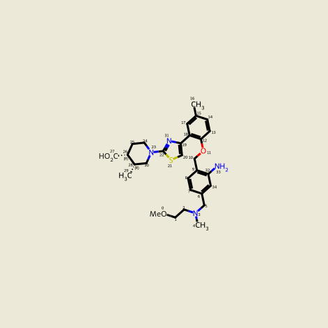 COCCN(C)Cc1ccc(COc2ccc(C)cc2-c2csc(N3CC[C@@H](C(=O)O)[C@@H](C)C3)n2)c(N)c1